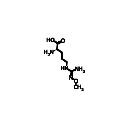 CO/N=C(\N)NCCC[C@H](N)C(=O)O